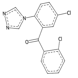 O=C(c1ccccc1Cl)c1cc(Cl)ccc1-n1cnnc1